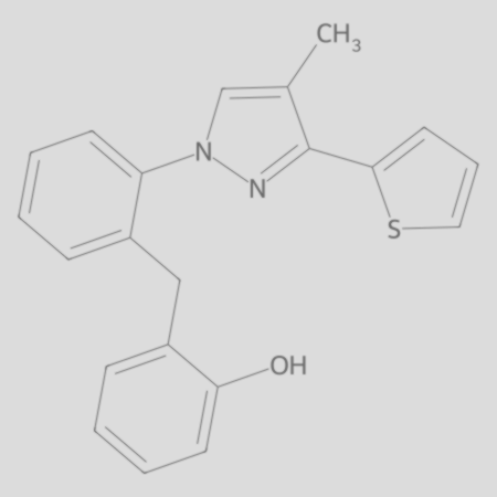 Cc1cn(-c2ccccc2Cc2ccccc2O)nc1-c1cccs1